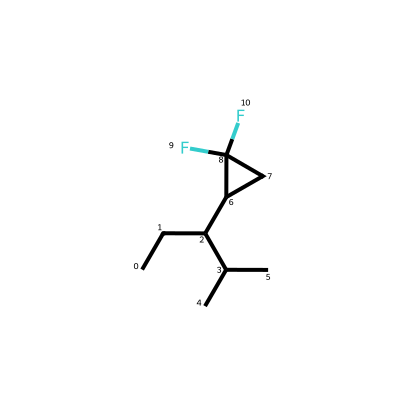 CCC(C(C)C)C1CC1(F)F